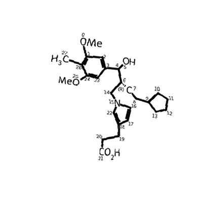 COc1cc(C(O)[C@H](CCC2CCCC2)Cn2ccc(CCC(=O)O)c2)cc(OC)c1C